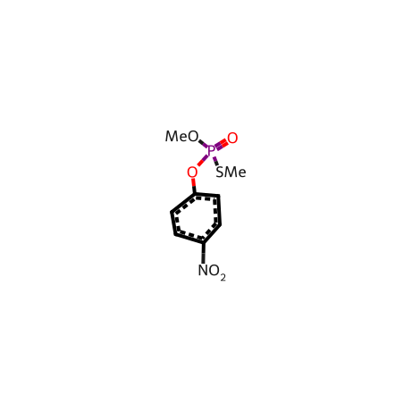 COP(=O)(Oc1ccc([N+](=O)[O-])cc1)SC